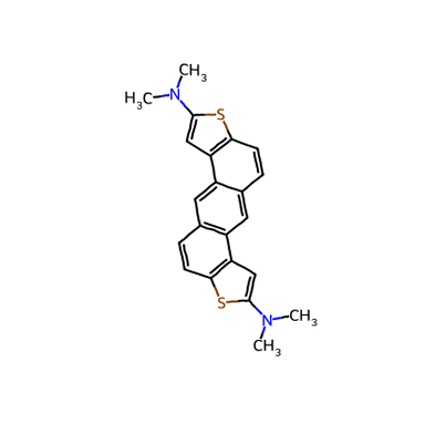 CN(C)c1cc2c(ccc3cc4c(ccc5sc(N(C)C)cc54)cc32)s1